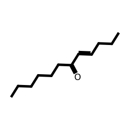 CCC/C=C/C(=O)CCCCCC